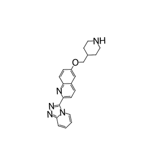 c1ccn2c(-c3ccc4cc(OCC5CCNCC5)ccc4n3)nnc2c1